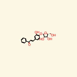 O=C(C=Cc1ccc(O[C@@H]2O[C@H](CO)[C@@H](O)[C@H]2O)c(O)c1)c1ccccc1